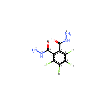 NNC(=O)c1c(F)c(F)c(F)c(F)c1C(=O)NN